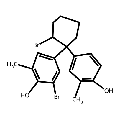 Cc1cc(C2(c3cc(C)c(O)c(Br)c3)CCCCC2Br)ccc1O